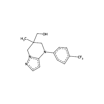 CC1(CO)CN(c2ccc(C(F)(F)F)cc2)c2ccnn2C1